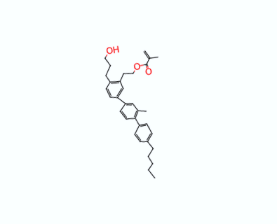 C=C(C)C(=O)OCCc1cc(-c2ccc(-c3ccc(CCCCC)cc3)c(C)c2)ccc1CCCO